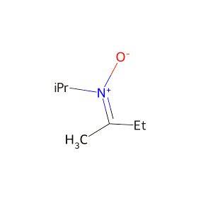 CC/C(C)=[N+](\[O-])C(C)C